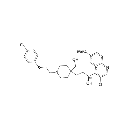 COc1ccc2ncc(Cl)c([C@@H](O)CCC3(CO)CCN(CCSc4ccc(Cl)cc4)CC3)c2c1